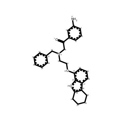 Nc1cccc(C(=O)CN(CCOc2cccc3c4c(oc23)CCCC4)Cc2ccccc2)c1